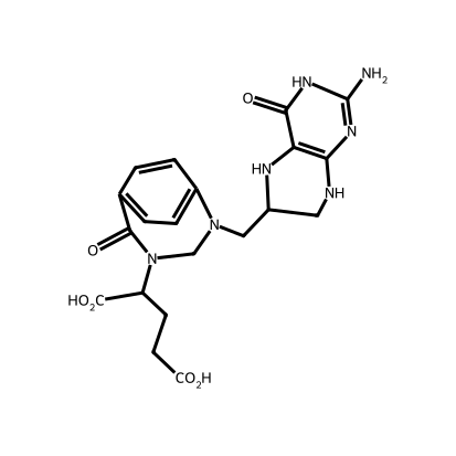 Nc1nc2c(c(=O)[nH]1)NC(CN1CN(C(CCC(=O)O)C(=O)O)C(=O)c3ccc1cc3)CN2